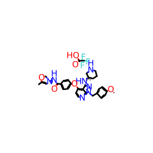 COc1ccc(Cn2nc(N[C@@H]3CCCNC3)c3c(Oc4ccc(C(=O)NN5C=C(C)OC5)cc4)ccnc32)cc1.O=C(O)C(F)(F)F